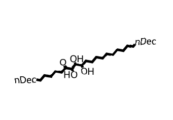 CCCCCCCCCCCCCCCCCCCCC(O)C(O)C(O)C(=O)CCCCCCCCCCCCCCC